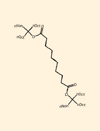 CCCCCCCCCC(CCCCCCCC)(CCCCCCCC)OC(=O)CCCCCCCCC(=O)OC(CCCCCCCC)(CCCCCCCC)CCCCCCCCC